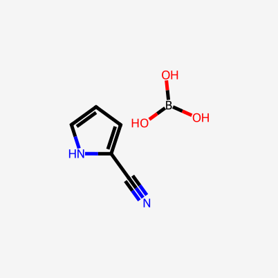 N#Cc1ccc[nH]1.OB(O)O